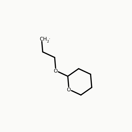 [CH2]CCOC1CCCCO1